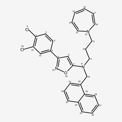 Clc1ccc(-c2cc(N(CCCN3C=CC=CC=C3)Cc3cccc4ccccc34)on2)cc1Cl